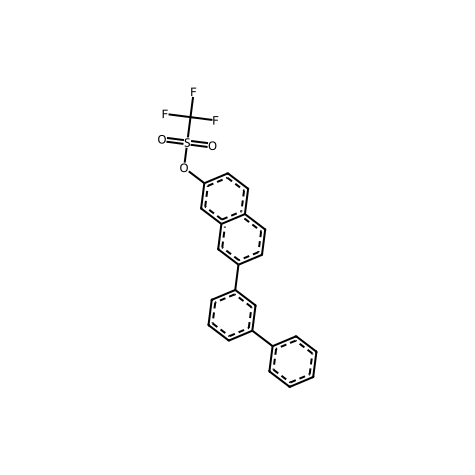 O=S(=O)(Oc1ccc2ccc(-c3cccc(-c4ccccc4)c3)cc2c1)C(F)(F)F